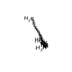 CCCCCCCCCCCCCCCCCCOCC(O)Cn1cnc2c(N)ncnc21